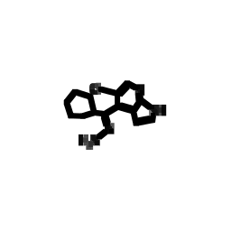 NN=C(c1c(Cl)cnc2[nH]ccc12)C1CCCCC1